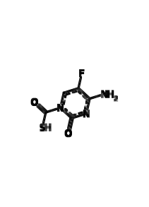 Nc1nc(=O)n(C(=O)S)cc1F